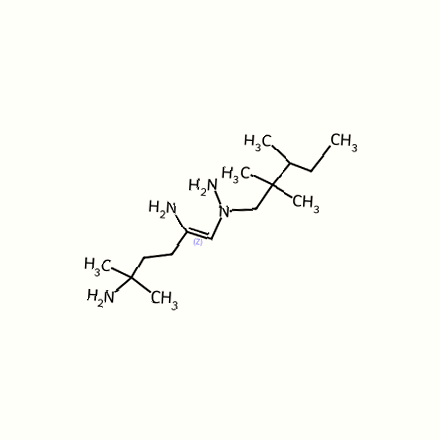 CCC(C)C(C)(C)CN(N)/C=C(\N)CCC(C)(C)N